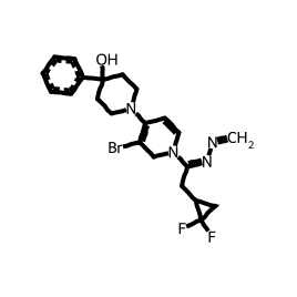 C=N/N=C(/CC1CC1(F)F)N1C=CC(N2CCC(O)(c3ccccc3)CC2)=C(Br)C1